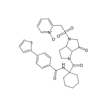 O=C(NC1(C(=O)N2CCC3C2C(=O)CN3S(=O)(=O)Cc2cccc[n+]2[O-])CCCCC1)c1ccc(-c2cccs2)cc1